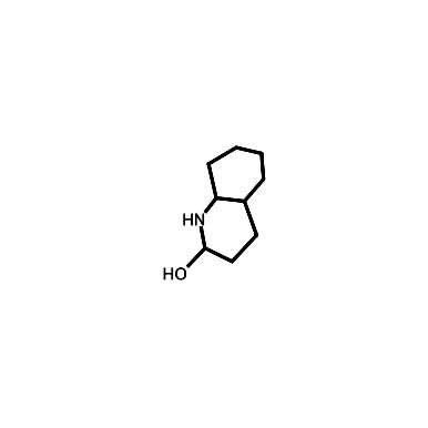 OC1CCC2CCCCC2N1